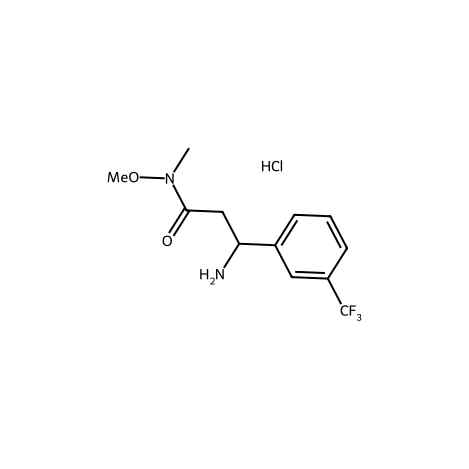 CON(C)C(=O)CC(N)c1cccc(C(F)(F)F)c1.Cl